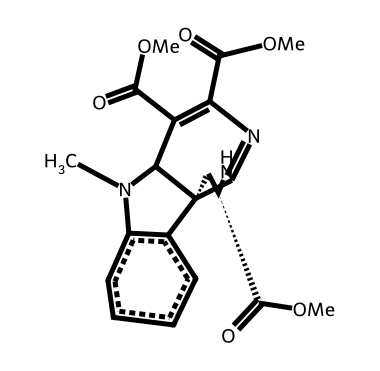 COC(=O)C1=C(C(=O)OC)C2N(C)c3ccccc3[C@@]23C[C@@H](C(=O)OC)NC3=N1